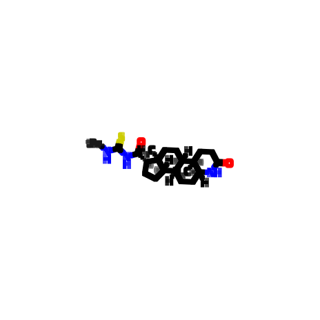 CC(C)(C)NC(=S)NC(=O)[C@H]1CC[C@H]2[C@@H]3CC[C@H]4NC(=O)CC[C@]4(C)[C@H]3CC[C@]12C